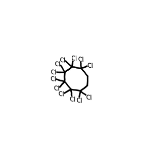 ClC1(Cl)CCC(Cl)(Cl)C(Cl)(Cl)C(Cl)(Cl)C(Cl)(Cl)C1(Cl)Cl